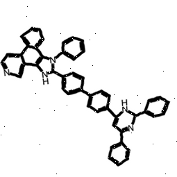 C1=C(c2ccc(-c3ccc(C4Nc5c(c6ccccc6c6ccncc56)N4c4ccccc4)cc3)cc2)NC(c2ccccc2)N=C1c1ccccc1